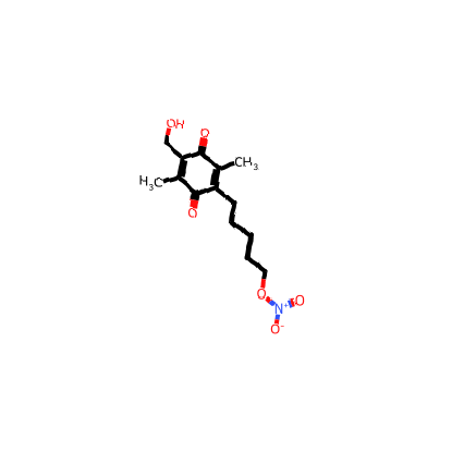 CC1=C(CO)C(=O)C(C)=C(CCCCCO[N+](=O)[O-])C1=O